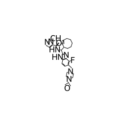 Cn1nccc1C(=O)NC(c1nc2c(F)c(CN3CCN(C4COC4)CC3)ccc2[nH]1)C1CCCCCCC1